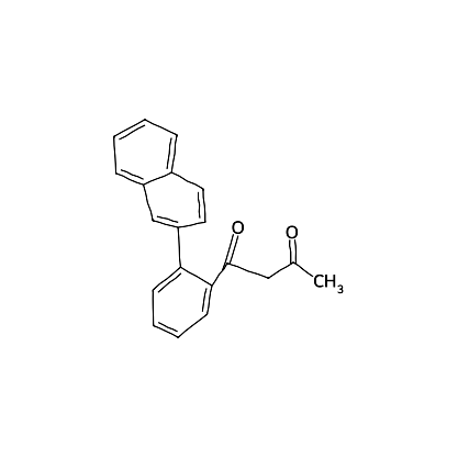 CC(=O)CC(=O)c1ccccc1-c1ccc2ccccc2c1